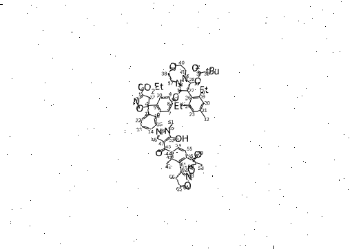 CCOC(=O)C1=NOC(c2ccccc2)(c2ccccc2)C1.CCc1cc(C)cc(CC)c1-c1c(OC(=O)C(C)(C)C)n2n(c1=O)CCOCC2.Cc1c(C(=O)c2cnn(C)c2O)ccc(S(C)(=O)=O)c1C1=NOCC1